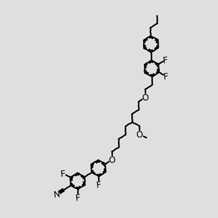 CCCc1ccc(-c2ccc(CCOCCCC(CCCCCOc3ccc(-c4cc(F)c(C#N)c(F)c4)c(F)c3)COC)c(F)c2F)cc1